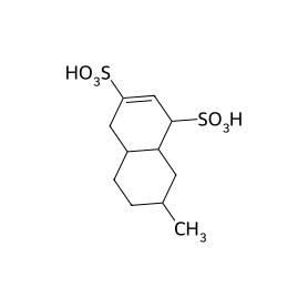 CC1CCC2CC(S(=O)(=O)O)=CC(S(=O)(=O)O)C2C1